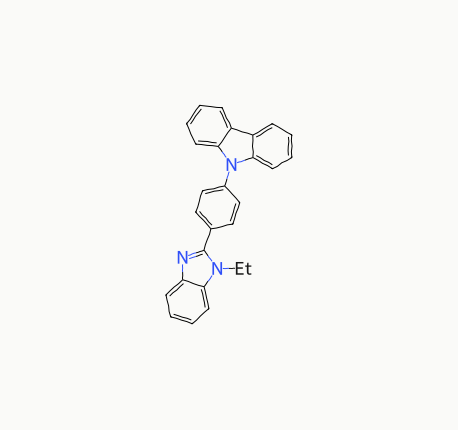 CCn1c(-c2ccc(-n3c4ccccc4c4ccccc43)cc2)nc2ccccc21